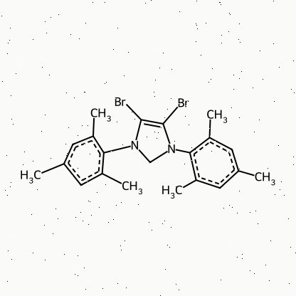 Cc1cc(C)c(N2CN(c3c(C)cc(C)cc3C)C(Br)=C2Br)c(C)c1